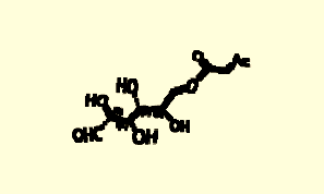 CC(=O)CC(=O)OC[C@@H](O)[C@@H](O)[C@H](O)[C@@H](O)C=O